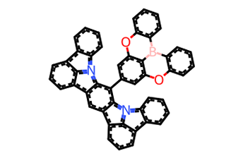 c1ccc2c(c1)Oc1cc(-c3c4c(cc5c6cccc7c8ccccc8n(c35)c76)c3cccc5c6ccccc6n4c53)cc3c1B2c1ccccc1O3